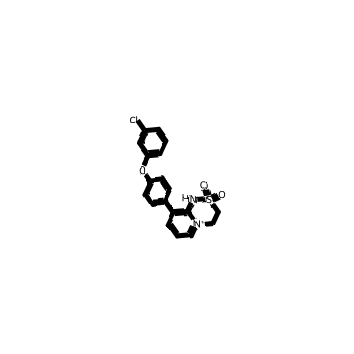 O=S1(=O)CC[n+]2cccc(-c3ccc(Oc4cccc(Cl)c4)cc3)c2N1